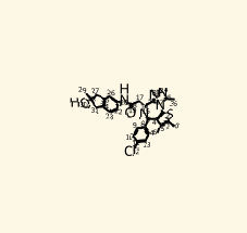 Cc1sc2c(c1C)C(c1ccc(Cl)cc1)=N[C@@H](CC(=O)Nc1ccc3c(c1)CC(C)(O)C3)c1nnc(C)n1-2